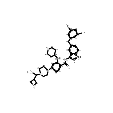 CC(C1CNC1)N1CCN(c2ccc(C(=O)Nc3n[nH]c4ccc(Cc5cc(F)cc(F)c5)cc34)c(NC3CCOCC3)c2)CC1